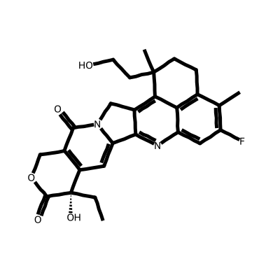 CC[C@@]1(O)C(=O)OCc2c1cc1n(c2=O)Cc2c-1nc1cc(F)c(C)c3c1c2C(C)(CCO)CC3